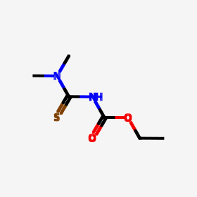 CCOC(=O)NC(=S)N(C)C